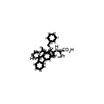 Cc1cc2c(c(Br)c1SCc1ccccc1)C1(NN=NN1C(C)COC(=O)N[C@H](C(=O)O)C(C)C)c1ccccc1-2